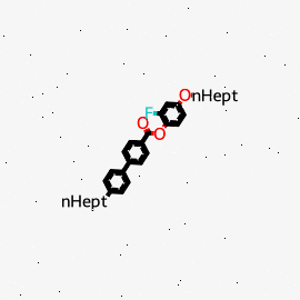 CCCCCCCOc1ccc(OC(=O)c2ccc(-c3ccc(CCCCCCC)cc3)cc2)c(F)c1